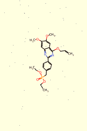 C=CCOc1nc(-c2ccc(CP(=O)(OCC)OCC)cc2)nc2cc(OC)c(OC)cc12